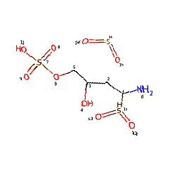 NC(CC(O)COS(=O)(=O)O)[SH](=O)=O.O=S=O